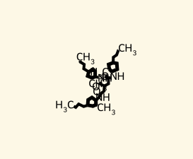 CCCCc1ccc(NC(=O)CC(CC(=O)Nc2ccc(CCCC)cc2C)C(=O)Nc2ccc(CCCC)cc2C)c(C)c1